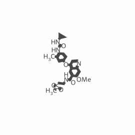 COc1cc2nccc(Oc3ccc(NC(=O)NC4CC4)c(C)c3)c2cc1C(=O)NCCS(C)(=O)=O